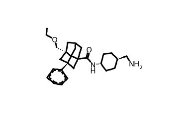 CCOC[C@@]12CC3CC4(C(=O)N[C@H]5CC[C@H](CN)CC5)C[C@](c5ccccc5)(C1)C42C3